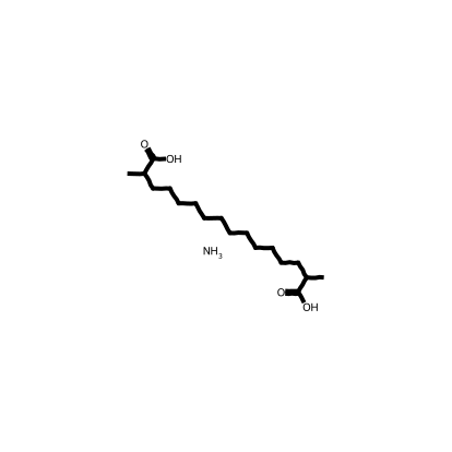 CC(CCCCCCCCCCCCC(C)C(=O)O)C(=O)O.N